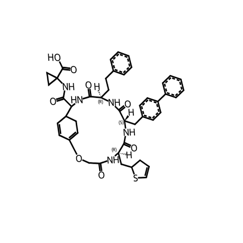 O=C1COC2=CCC(C=C2)C(C(=O)NC2(C(=O)O)CC2)NC(=O)[C@@H](CCc2ccccc2)NC(=O)[C@H](Cc2ccc(-c3ccccc3)cc2)NC(=O)[C@@H](CC2CC=CS2)N1